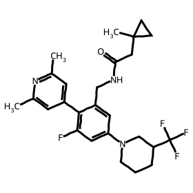 Cc1cc(-c2c(F)cc(N3CCCC(C(F)(F)F)C3)cc2CNC(=O)CC2(C)CC2)cc(C)n1